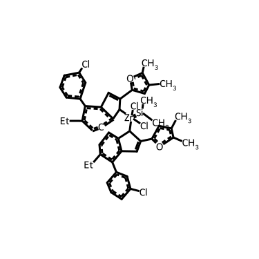 CCc1ccc2c(c1-c1cccc(Cl)c1)C=C(c1cc(C)c(C)o1)[CH]2[Zr]([Cl])([Cl])([CH]1C(c2cc(C)c(C)o2)=Cc2c1ccc(CC)c2-c1cccc(Cl)c1)=[Si](C)C